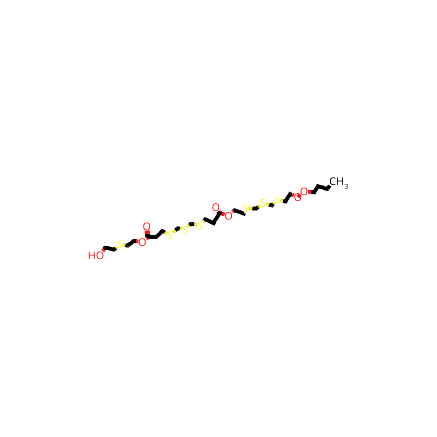 CCCCOOCCSCSCSCCOC(=O)CCSCSCSCCC(=O)OCCSCCO